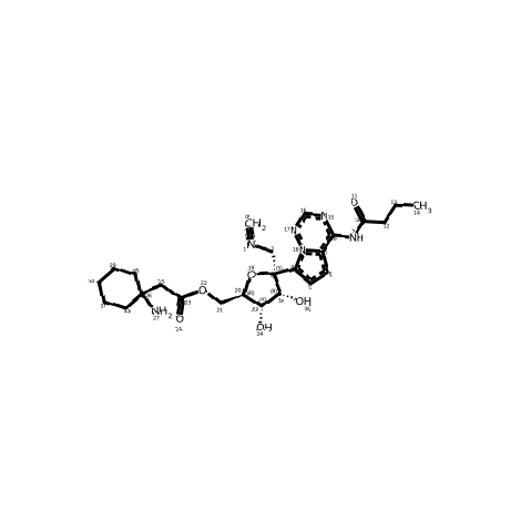 C=NC[C@@]1(c2ccc3c(NC(=O)CCC)ncnn23)O[C@H](COC(=O)CC2(N)CCCCC2)[C@@H](O)[C@H]1O